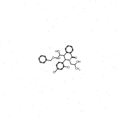 CC(O)CN1C(=O)c2ccccc2C(C(O)NOCc2ccccc2)C1c1ccc(Cl)cc1Cl